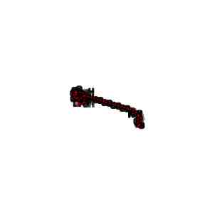 CCc1c2c(nc3ccc(O)cc13)-c1cc3c(c(=O)n1C2)COC(=O)C3(C)OC(=O)OCC(NC(=O)COCC(=O)NCCOCCOCCOCCOCCOCCOCCOCCOCCn1cc(CNC(=O)C2CCC(CN3C(=O)C=CC3=O)CC2)nn1)C(C)C